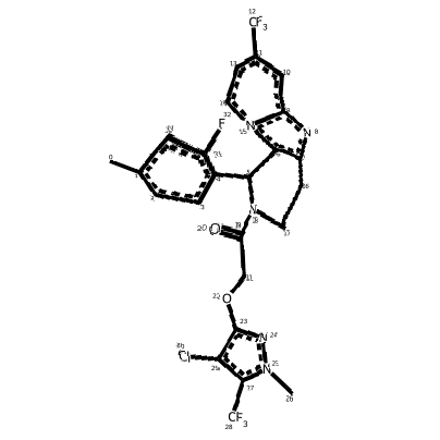 Cc1ccc(C2c3c(nc4cc(C(F)(F)F)ccn34)CCN2C(=O)COc2nn(C)c(C(F)(F)F)c2Cl)c(F)c1